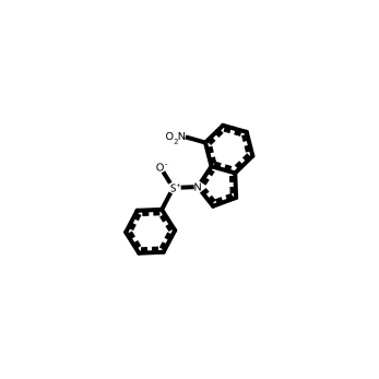 O=[N+]([O-])c1cccc2ccn([S+]([O-])c3ccccc3)c12